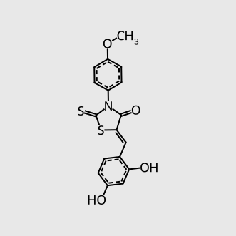 COc1ccc(N2C(=O)C(=Cc3ccc(O)cc3O)SC2=S)cc1